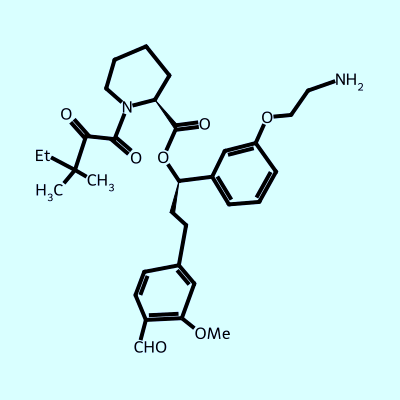 CCC(C)(C)C(=O)C(=O)N1CCCC[C@H]1C(=O)O[C@H](CCc1ccc(C=O)c(OC)c1)c1cccc(OCCN)c1